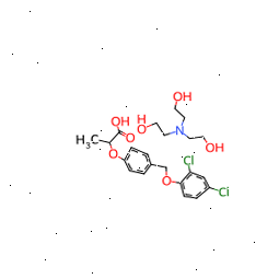 CC(Oc1ccc(COc2ccc(Cl)cc2Cl)cc1)C(=O)O.OCCN(CCO)CCO